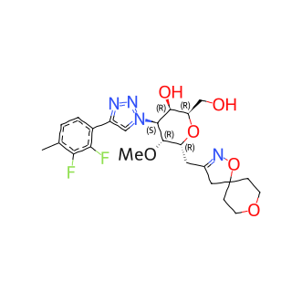 CO[C@@H]1[C@@H](n2cc(-c3ccc(C)c(F)c3F)nn2)[C@@H](O)[C@@H](CO)O[C@@H]1CC1=NOC2(CCOCC2)C1